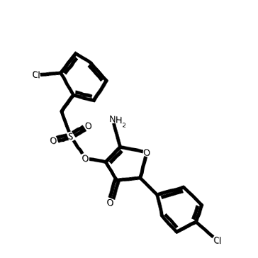 NC1=C(OS(=O)(=O)Cc2ccccc2Cl)C(=O)C(c2ccc(Cl)cc2)O1